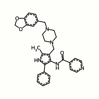 Cc1[nH]c(-c2ccccc2)c(NC(=O)c2ccncc2)c1CN1CCN(Cc2ccc3c(c2)OCO3)CC1